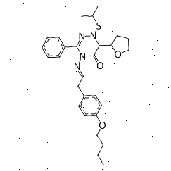 CCCCOc1ccc(CC=NN2C(=O)C(C3CCCO3)N(SC(C)C)N=C2c2ccccc2)cc1